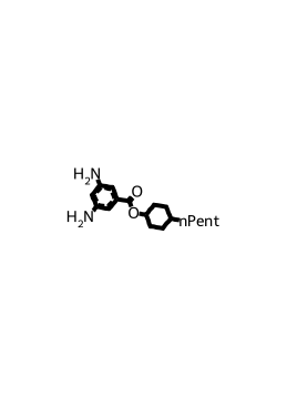 CCCCCC1CCC(OC(=O)c2cc(N)cc(N)c2)CC1